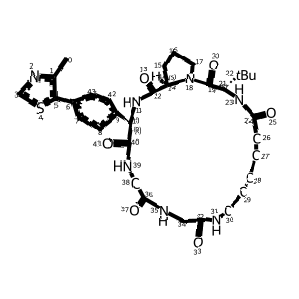 Cc1ncsc1-c1ccc([C@H]2NC(=O)[C@@H]3CCCN3C(=O)[C@H](C(C)(C)C)NC(=O)CCCCCNC(=O)CNC(=O)CNC2=O)cc1